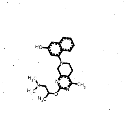 Cc1nc(OC(C)CN(C)C)nc2c1CCN(c1cc(O)cc3ccccc13)C2